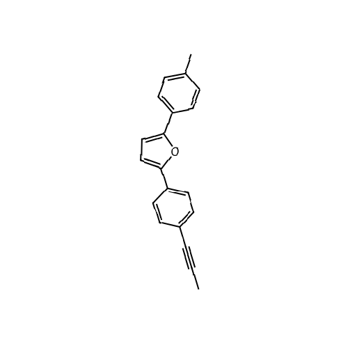 CC#Cc1ccc(-c2ccc(-c3ccc(C)cc3)o2)cc1